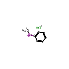 COPc1ccccc1.Cl